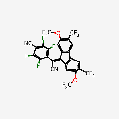 N#CC(=C1c2cc(OC(F)(F)F)c(C(F)(F)F)cc2-c2cc(C(F)(F)F)c(OC(F)(F)F)cc21)c1c(F)c(F)c(C#N)c(F)c1F